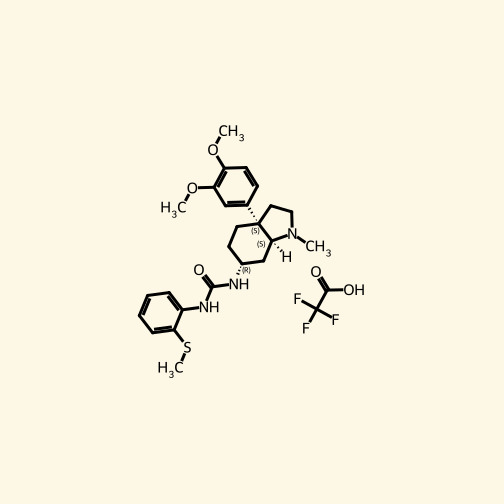 COc1ccc([C@@]23CC[C@@H](NC(=O)Nc4ccccc4SC)C[C@@H]2N(C)CC3)cc1OC.O=C(O)C(F)(F)F